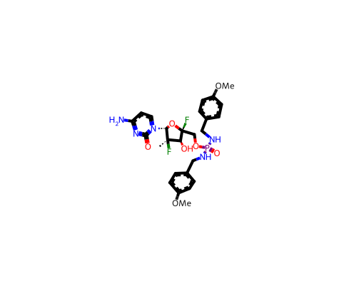 COc1ccc(CNP(=O)(NCc2ccc(OC)cc2)OC[C@@]2(F)O[C@@H](n3ccc(N)nc3=O)[C@](C)(F)[C@@H]2O)cc1